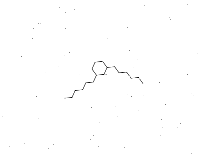 CCCCCCC1[CH]C(CCCCCC)CCC1